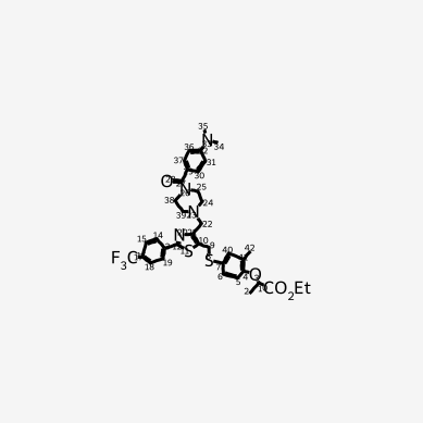 CCOC(=O)C(C)Oc1ccc(SCc2sc(-c3ccc(C(F)(F)F)cc3)nc2CN2CCN(C(=O)c3ccc(N(C)C)cc3)CC2)cc1C